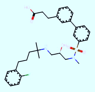 CN(C[C@H](O)CNC(C)(C)CCCc1ccccc1F)S(=O)(=O)c1cccc(-c2cccc(CCC(=O)O)c2)c1